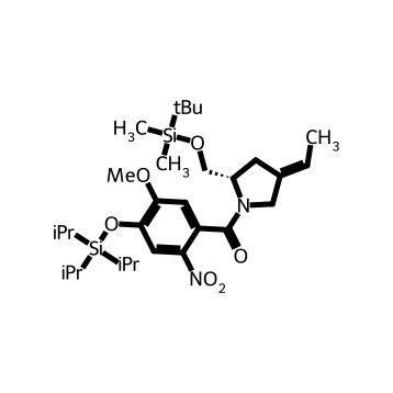 C/C=C1\C[C@@H](CO[Si](C)(C)C(C)(C)C)N(C(=O)c2cc(OC)c(O[Si](C(C)C)(C(C)C)C(C)C)cc2[N+](=O)[O-])C1